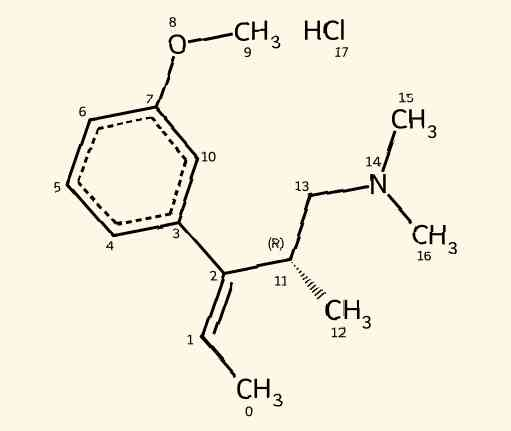 CC=C(c1cccc(OC)c1)[C@@H](C)CN(C)C.Cl